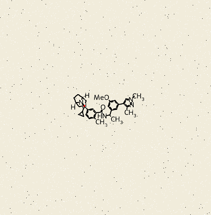 COc1cc(-c2cn(C)nc2C)cc([C@@H](C)NC(=O)c2cc(N3C[C@H]4CC[C@@H](C3)N4CC3CC3)ccc2C)c1